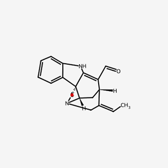 C/C=C1/CN2CC[C@]34C(=C(C=O)[C@H]1C[C@H]23)Nc1ccccc14